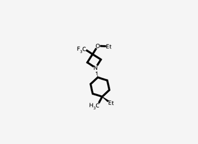 CCOC1(C(F)(F)F)CN([C@H]2CC[C@](C)(CC)CC2)C1